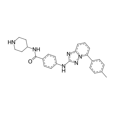 Cc1ccc(-c2cccc3nc(Nc4ccc(C(=O)NC5CCNCC5)cc4)nn23)cc1